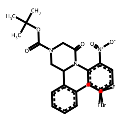 CC(C)(C)OC(=O)N1CC(=O)N(c2cc(Br)ccc2[N+](=O)[O-])C(c2ccccc2OC(F)F)C1